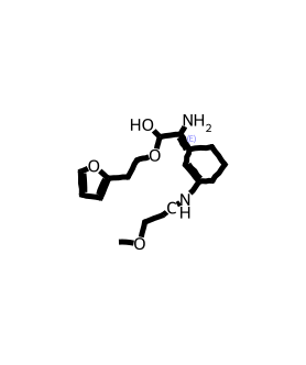 COCCCNC1=C/C(=C(/N)C(O)OCCc2ccco2)CCC1